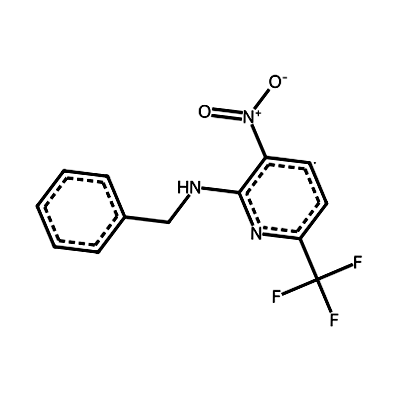 O=[N+]([O-])c1[c]cc(C(F)(F)F)nc1NCc1ccccc1